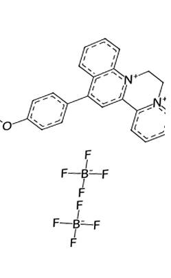 COc1ccc(-c2cc3[n+](c4ccccc24)CC[n+]2ccccc2-3)cc1.F[B-](F)(F)F.F[B-](F)(F)F